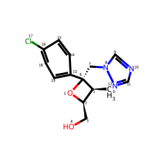 C[C@H]1[C@@H](CO)O[C@@]1(Cn1cncn1)c1ccc(Cl)cc1